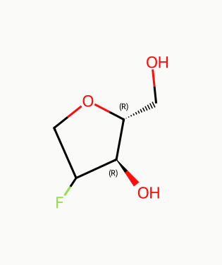 OC[C@H]1OCC(F)[C@@H]1O